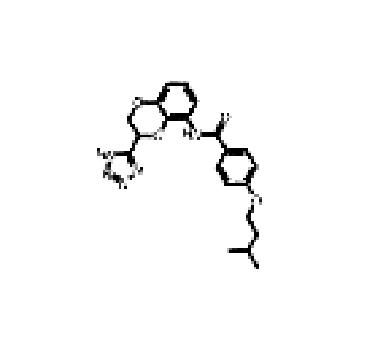 CC(C)CCOc1ccc(C(=O)Nc2cccc3c2OC(c2nnn[nH]2)CO3)cc1